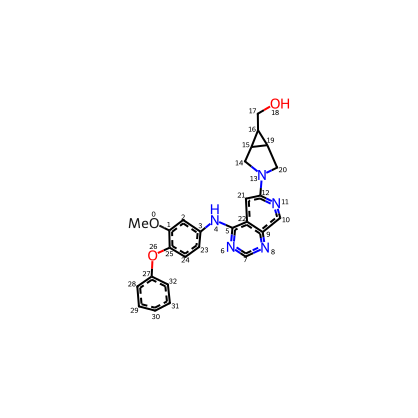 COc1cc(Nc2ncnc3cnc(N4CC5C(CO)C5C4)cc23)ccc1Oc1ccccc1